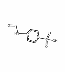 O=CNc1ccc(S(=O)(=O)O)cc1